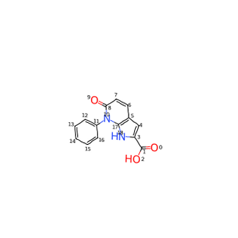 O=C(O)c1cc2ccc(=O)n(-c3ccccc3)c2[nH]1